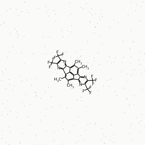 Cc1c(C)c2c3c(c(C)c(C)c4c3c1-c1nc(C(F)(F)F)c(C(F)(F)F)nc1-4)-c1nc(C(F)(F)F)c(C(F)(F)F)nc1-2